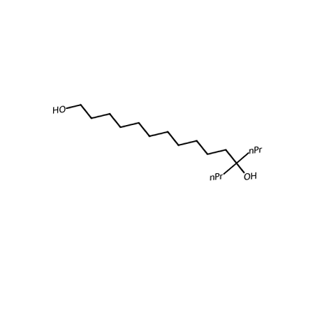 CCCC(O)(CCC)CCCCCCCCCCCO